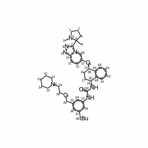 CN1CCCC1(C)c1nnc2ccc(O[C@@H]3CC[C@H](NC(=O)Nc4cc(COCCN5CCCCC5)cc(C(C)(C)C)c4)c4ccccc43)cn12